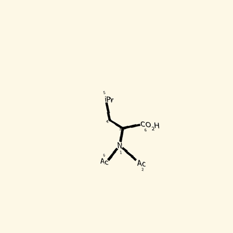 CC(=O)N(C(C)=O)C(CC(C)C)C(=O)O